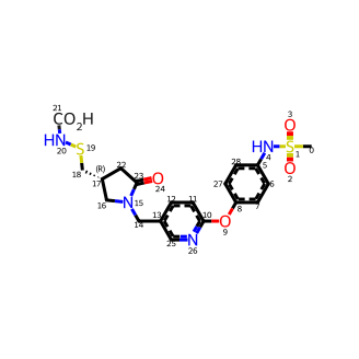 CS(=O)(=O)Nc1ccc(Oc2ccc(CN3C[C@H](CSNC(=O)O)CC3=O)cn2)cc1